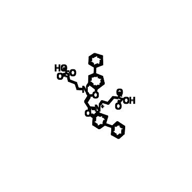 O=S(=O)(O)CCCN1/C(=C/c2oc3ccc(-c4ccccc4)cc3[n+]2CCCS(=O)(=O)O)Oc2ccc(-c3ccccc3)cc21